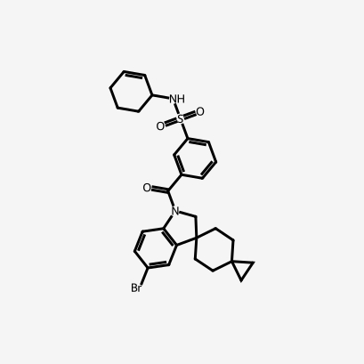 O=C(c1cccc(S(=O)(=O)NC2C=CCCC2)c1)N1CC2(CCC3(CC3)CC2)c2cc(Br)ccc21